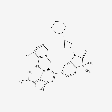 CC(C)n1cnc2cc(-c3ccc4c(c3)N([C@H]3C[C@@H](N5CCCCC5)C3)C(=O)C4(C)C)nc(Nc3c(F)cncc3F)c21